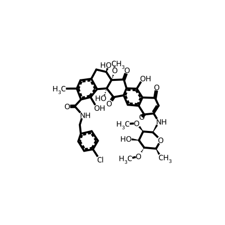 CO[C@@H]1[C@@H](O)[C@@H](OC)[C@@H](NC2=CC(=O)c3c(cc4c(c3O)C(=O)[C@]3(OC)[C@H](O)Cc5cc(C)c(C(=O)NCc6ccc(Cl)cc6)c(O)c5[C@]3(O)C4=O)C2=O)O[C@H]1C